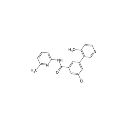 Cc1cccc(NC(=O)c2cc(Cl)cc(-c3cnccc3C)c2)n1